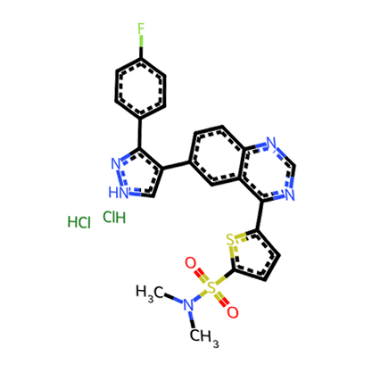 CN(C)S(=O)(=O)c1ccc(-c2ncnc3ccc(-c4c[nH]nc4-c4ccc(F)cc4)cc23)s1.Cl.Cl